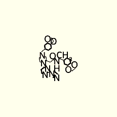 CC(NC(=O)CC1CN(Cc2ccc3c(c2)OCO3)CCN1c1ccnc(-n2ccnc2)n1)c1ccc2c(c1)OCCO2